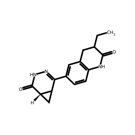 CCC1Cc2cc(C3=NNC(=O)[C@H]4CC34)ccc2NC1=O